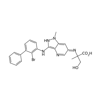 Cn1[nH]c(Nc2cccc(-c3ccccc3)c2Br)c2ncc(=NC(C)(CO)C(=O)O)cc1-2